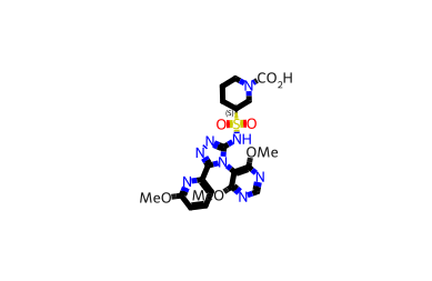 COc1cccc(-c2nnc(NS(=O)(=O)[C@H]3CCCN(C(=O)O)C3)n2-c2c(OC)ncnc2OC)n1